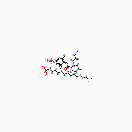 CCCCCCCCCCCCCCCC(=O)O.CCCCN1CCCCC1C(=O)Nc1c(C)cccc1C.Cl.O